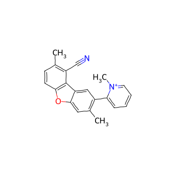 Cc1cc2oc3ccc(C)c(C#N)c3c2cc1-c1cccc[n+]1C